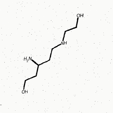 NC(CCO)CCNCCO